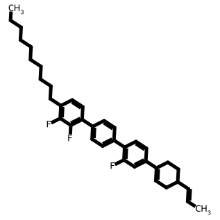 C/C=C/C1CC=C(c2ccc(-c3ccc(-c4ccc(CCCCCCCCCC)c(F)c4F)cc3)c(F)c2)CC1